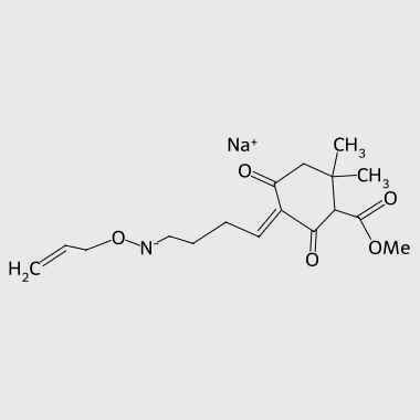 C=CCO[N-]CCCC=C1C(=O)CC(C)(C)C(C(=O)OC)C1=O.[Na+]